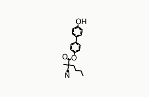 CCCCC(C)(C#N)C(=O)Oc1ccc(-c2ccc(O)cc2)cc1